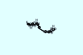 O=C1CCC(N2Cc3cc(N4CCN(CCCCCc5ccc(-c6cnc7[nH]cc(C(=O)c8c(F)ccc(NS(=O)(=O)N9CC[C@@H](F)C9)c8F)c7c6)cc5)CC4)ccc3C2=O)C(=O)N1